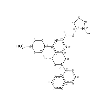 C[C@@H]1CN(C(=O)O)CCN1c1nc(OC[C@@H]2CCCN2C)nc2c1CCN(c1cccc3ccccc13)C2